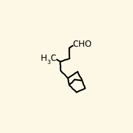 CC(CCC=O)CC1CC2CCC1C2